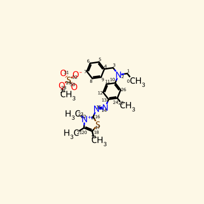 CCN(Cc1ccccc1)c1ccc(N=Nc2sc(C)c(C)[n+]2C)c(C)c1.COS(=O)(=O)[O-]